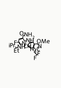 CC[C@@H](NC1=C(F)C=C(C(N)=O)C(Nc2ccc(CCC(F)F)c(/C(=N\C)OC)c2)N1C)C(C)C